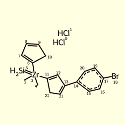 Cl.Cl.[CH3][Zr]([CH3])(=[SiH2])([C]1=CC=CC1)[C]1=CC(c2ccc(Br)cc2)=CC1